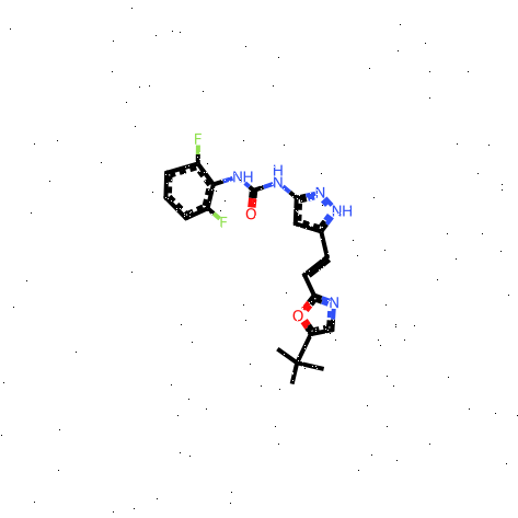 CC(C)(C)c1cnc(C=Cc2cc(NC(=O)Nc3c(F)cccc3F)n[nH]2)o1